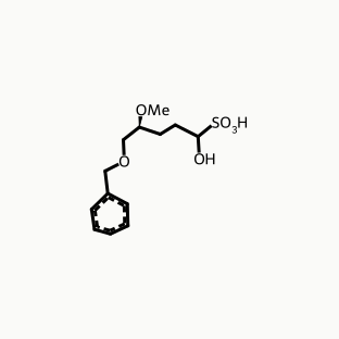 CO[C@@H](CCC(O)S(=O)(=O)O)COCc1ccccc1